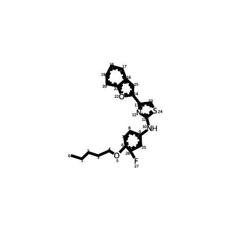 CCCCCOc1ccc(Nc2nc(-c3cc4ccccc4o3)cs2)cc1F